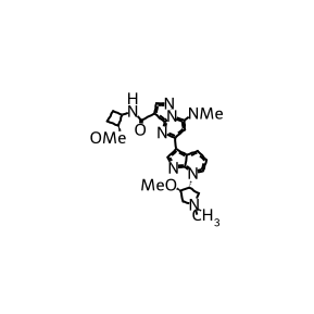 CNc1cc(-c2cnc3n([C@@H]4CN(C)C[C@H]4OC)cccc2-3)nc2c(C(=O)NC3CC[C@@H]3OC)cnn12